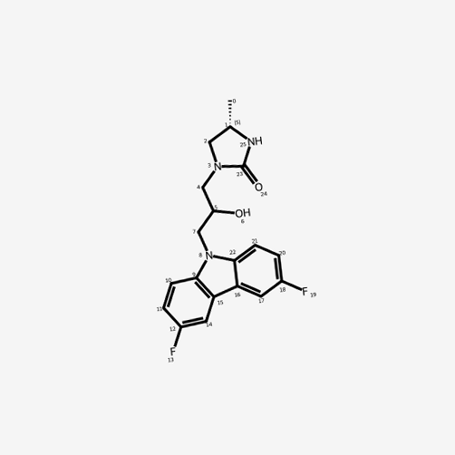 C[C@H]1CN(CC(O)Cn2c3ccc(F)cc3c3cc(F)ccc32)C(=O)N1